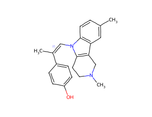 C/C(=C/n1c2c(c3cc(C)ccc31)CN(C)CC2)c1ccc(O)cc1